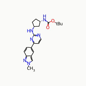 Cn1cc2cc(-c3ccnc(N[C@H]4CC[C@H](NC(=O)OC(C)(C)C)C4)n3)ccc2n1